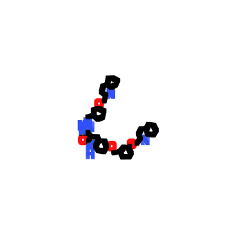 O=c1[nH]c2ccc(OCc3cccc(OCc4ccc5ccccc5n4)c3)cc2cc1-c1nnn(Cc2cccc(OCc3ccc4ccccc4n3)c2)n1